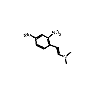 CN(C)/C=C/c1ccc(C(C)(C)C)cc1[N+](=O)[O-]